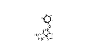 CC(C)[C@]1(C)CCC[C@@H]1COc1ccccn1